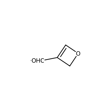 O=[C]C1=COC1